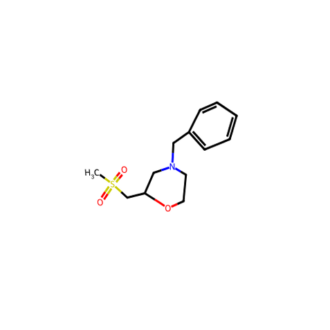 CS(=O)(=O)CC1CN(Cc2ccccc2)CCO1